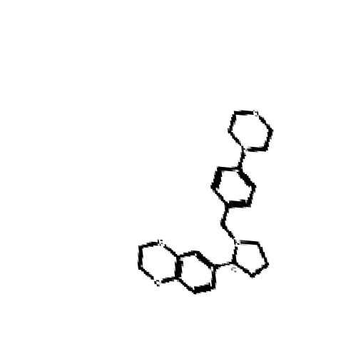 c1cc(N2CCSCC2)ccc1CN1CCC[C@H]1c1ccc2c(c1)OCCO2